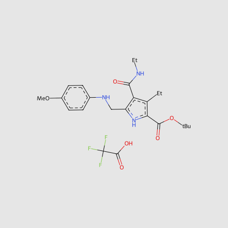 CCNC(=O)c1c(CNc2ccc(OC)cc2)[nH]c(C(=O)OC(C)(C)C)c1CC.O=C(O)C(F)(F)F